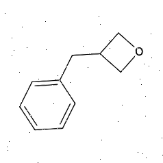 c1ccc(CC2COC2)cc1